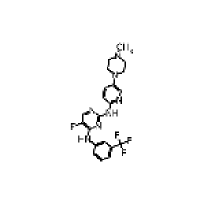 CN1CCN(c2ccc(Nc3ncc(F)c(Nc4cccc(C(F)(F)F)c4)n3)nc2)CC1